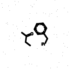 CC(C)Cc1ccccc1.CCC(C)=O